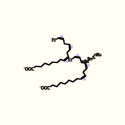 CC/C=C\C/C=C\C/C=C\CCCCCCCC(=O)[O-].CC/C=C\C/C=C\C/C=C\CCCCCCCC(=O)[O-].CCC[CH2][Sn+2][CH2]CCC